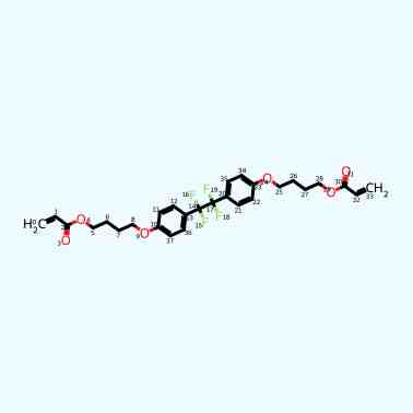 C=CC(=O)OCCCCOc1ccc(C(F)(F)C(F)(F)c2ccc(OCCCCOC(=O)C=C)cc2)cc1